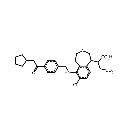 O=C(O)CC(C(=O)O)C1CNCCc2c1ccc(Cl)c2NCc1ccc(C(=O)CC2CCCC2)cc1